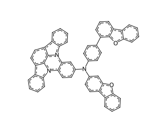 c1ccc2c(c1)oc1cc(N(c3ccc(-c4cccc5c4oc4ccccc45)cc3)c3ccc4c(c3)n3c5ccccc5c5ccc6c7ccccc7n4c6c53)ccc12